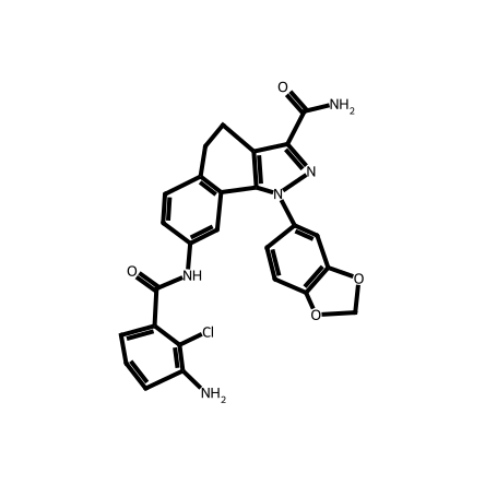 NC(=O)c1nn(-c2ccc3c(c2)OCO3)c2c1CCc1ccc(NC(=O)c3cccc(N)c3Cl)cc1-2